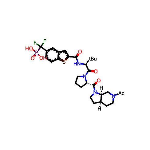 CC(=O)N1CC[C@H]2CCN(C(=O)[C@@H]3CCCN3C(=O)[C@@H](NC(=O)c3cc4cc(C(F)(F)P(=O)(O)O)ccc4s3)C(C)(C)C)[C@H]2C1